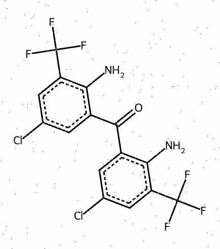 Nc1c(C(=O)c2cc(Cl)cc(C(F)(F)F)c2N)cc(Cl)cc1C(F)(F)F